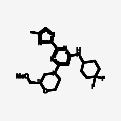 COC[C@H]1CN(c2cc(NC3CCC(F)(F)CC3)nc(-c3nc(C)cs3)n2)CCO1